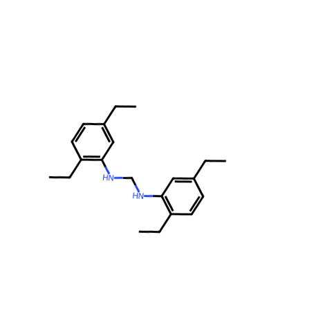 CCc1ccc(CC)c(NCNc2cc(CC)ccc2CC)c1